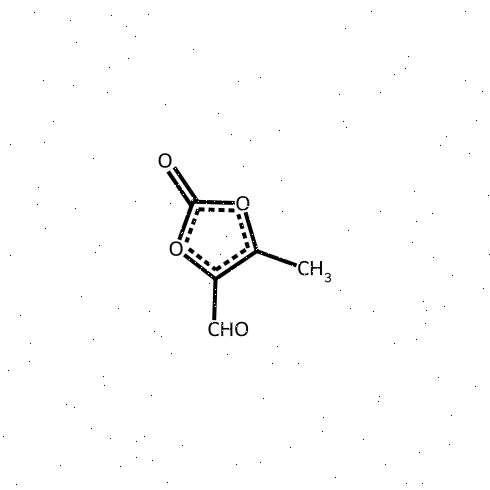 Cc1oc(=O)oc1C=O